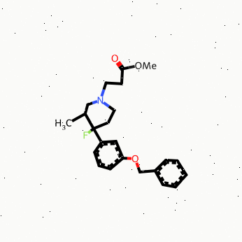 COC(=O)CCN1CCC(F)(c2cccc(OCc3ccccc3)c2)C(C)C1